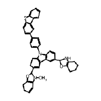 CN1C2=C(CCC=C2)OC1C1=Cc2c(n(-c3ccc(-c4ccc5sc6ccccc6c5c4)cc3)c3ccc(C4NC5=C(CCCC5)O4)cc23)CC1